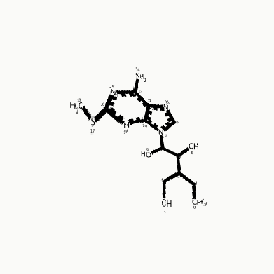 CCC(CO)C(O)C(O)n1cnc2c(N)nc(SC)nc21